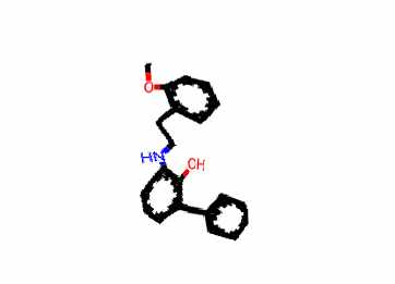 COc1ccccc1CCNc1cccc(-c2ccccc2)c1O